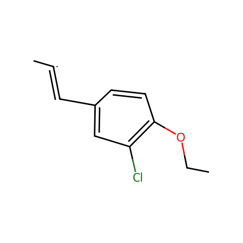 C[C]=Cc1ccc(OCC)c(Cl)c1